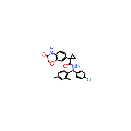 Cc1ccc(C(NC(=O)C2(c3ccc4c(c3)OCC(=O)N4)CC2)c2ccc(Cl)cc2)c(C)c1